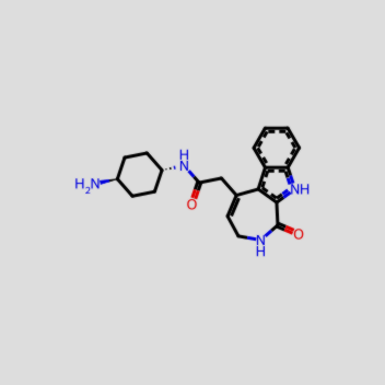 N[C@H]1CC[C@H](NC(=O)CC2=CCNC(=O)c3[nH]c4ccccc4c32)CC1